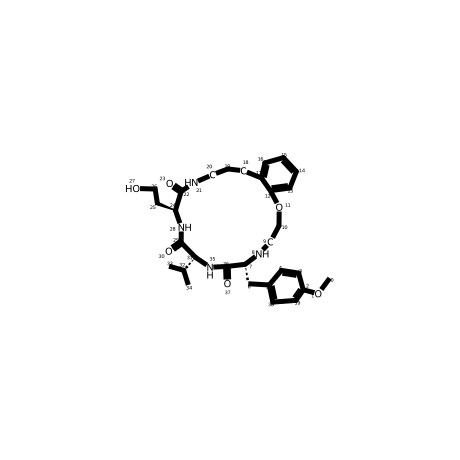 COc1ccc(C[C@H]2NCCOc3ccccc3CCCNC(=O)[C@H](CCO)NC(=O)[C@@H](C(C)C)NC2=O)cc1